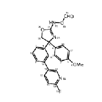 COc1ccc(C2(c3cccc(-c4ccc(F)nc4)c3)COC(NOC=O)=N2)cc1